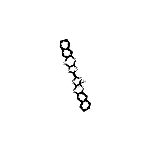 c1ccc2cc3c(cc2c1)SC1SC(=C2SC4Sc5cc6ccccc6cc5S[C@H]4S2)SC1S3